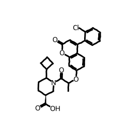 CC(Oc1ccc2c(-c3ccccc3Cl)cc(=O)oc2c1)C(=O)N1C[C@@H](C(=O)O)CCC1C1CCC1